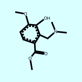 COC(=O)c1ccc(OC)c(O)c1CN(C)C